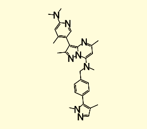 Cc1cc(N(C)Cc2ccc(-c3c(C)cnn3C)cc2)n2nc(C)c(-c3cnc(N(C)C)cc3C)c2n1